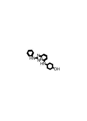 OC1CCC(Nc2cccc3nc(Nc4ccccc4)nn23)CC1